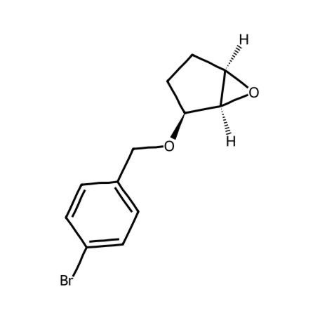 Brc1ccc(CO[C@H]2CC[C@H]3O[C@@H]23)cc1